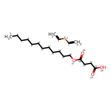 C=CSC=C.CCCCCCCCCCCCOC(=O)CCC(=O)O